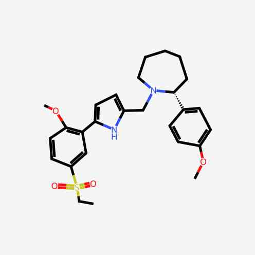 CCS(=O)(=O)c1ccc(OC)c(-c2ccc(CN3CCCCC[C@@H]3c3ccc(OC)cc3)[nH]2)c1